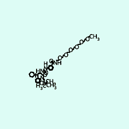 CCOCCOCCOCCOCCOCCOCCNC(=O)c1cccc(NC(=O)N[C@@H]2CN(C3CCCCC3)c3ccccc3N(CC(=O)C(C)(C)C)C2=O)c1